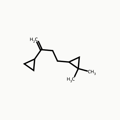 C=C(CCC1CC1(C)C)C1CC1